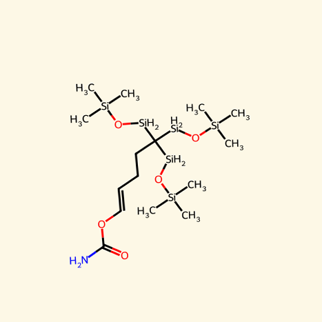 C[Si](C)(C)O[SiH2]C(CCC=COC(N)=O)([SiH2]O[Si](C)(C)C)[SiH2]O[Si](C)(C)C